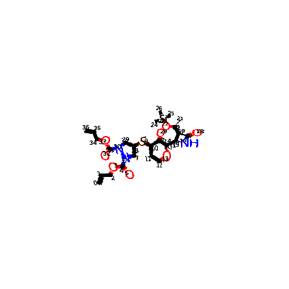 C=CCOC(=O)N1CC(SC2CCO[C@H]([C@H]3NC(=O)[C@@H]3[C@@H](C)O[Si](C)(C)C)C2=O)CN1C(=O)OCC=C